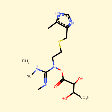 CN=C(NC#N)N(CCSCc1nc[nH]c1C)OC(=O)C(O)C(O)C(=O)O.[BiH3]